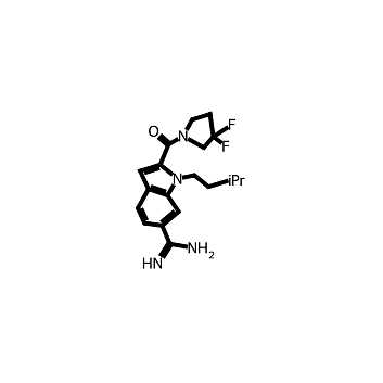 CC(C)CCn1c(C(=O)N2CCC(F)(F)C2)cc2ccc(C(=N)N)cc21